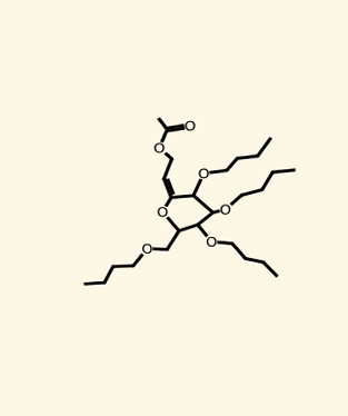 CCCCOCC1O/C(=C/COC(C)=O)C(OCCCC)C(OCCCC)C1OCCCC